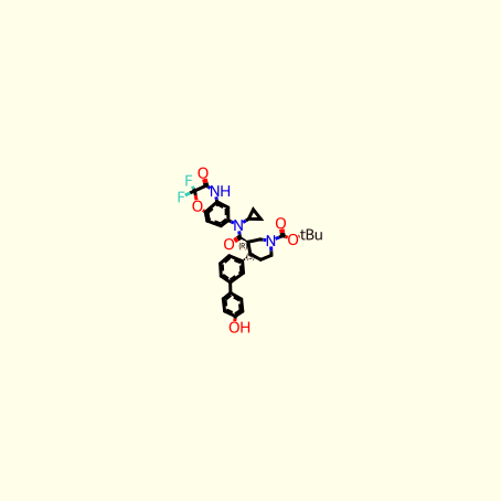 CC(C)(C)OC(=O)N1CC[C@H](c2cccc(-c3ccc(O)cc3)c2)[C@@H](C(=O)N(c2ccc3c(c2)NC(=O)C(F)(F)O3)C2CC2)C1